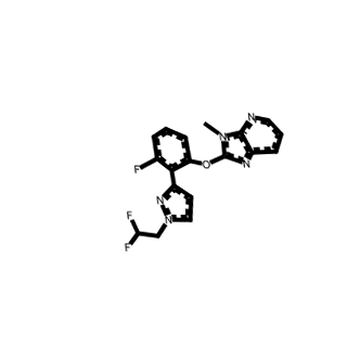 Cn1c(Oc2cccc(F)c2-c2ccn(CC(F)F)n2)nc2cccnc21